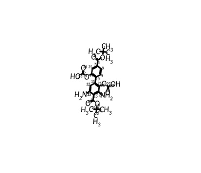 CC(C)(C)OC(=O)c1ccc(-c2cc(N)c(C(=O)OC(C)(C)C)c(N)c2OC(=O)O)c(OC(=O)O)c1